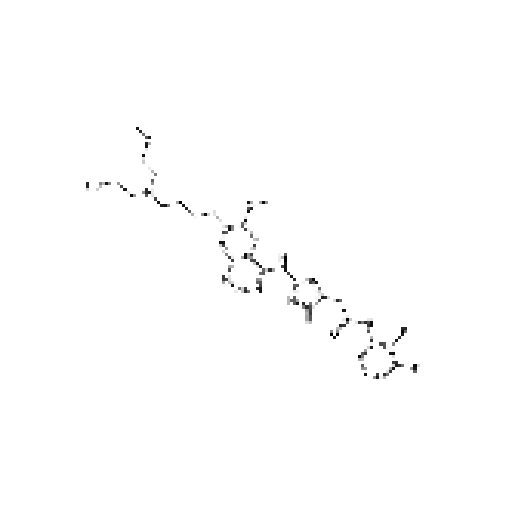 COCCN(CCO)CCCOc1cc2ncnc(Nc3cc(CC(=O)Nc4cccc(F)c4F)[nH]n3)c2cc1OC